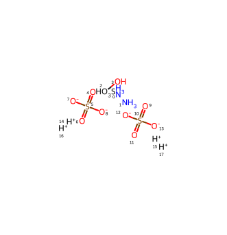 N.N.O=S(=O)(O)O.O=S(=O)([O-])[O-].O=S(=O)([O-])[O-].[H+].[H+].[H+].[H+]